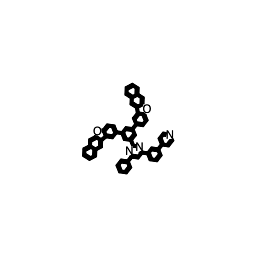 c1ccc(-c2cc(-c3cccc(-c4ccncc4)c3)nc(-c3cc(-c4ccc5oc6cc7ccccc7cc6c5c4)cc(-c4ccc5oc6cc7ccccc7cc6c5c4)c3)n2)cc1